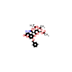 CC(=O)OC[C@H]1O[C@@H](Oc2cc3ccc(=O)oc3cc2OCc2ccccc2)[C@@H](CC(N)=O)[C@@H](OC(C)=O)[C@@H]1OC(C)=O